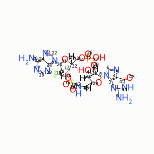 Nc1nc2c(ncn2[C@@H]2O[C@@H]3CNS(=O)(=O)O[C@H]4[C@@H](F)[C@H](n5cnc6c(N)ncnc65)O[C@@H]4COP(=O)(O)O[C@@H]2[C@@H]3O)c(=O)[nH]1